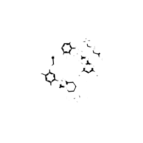 C#CCOc1cc(-n2nc3n(c2=O)CCCC3)c(Cl)cc1Cl.COc1cc(OC)n2nc(S(=O)(=O)Nc3c(Cl)ccc(C)c3Cl)nc2n1.C[S+](C)C.O=C(O)CNCP(=O)([O-])O